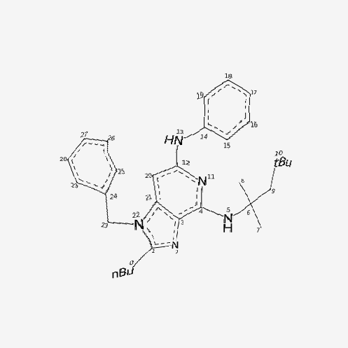 CCCCc1nc2c(NC(C)(C)CC(C)(C)C)nc(Nc3ccccc3)cc2n1Cc1ccccc1